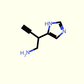 C#CC(CN)c1cnc[nH]1